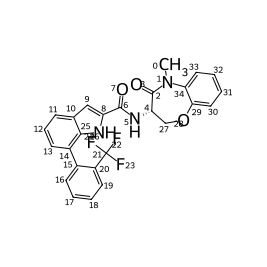 CN1C(=O)[C@@H](NC(=O)c2cc3cccc(-c4ccccc4C(F)(F)F)c3[nH]2)COc2ccccc21